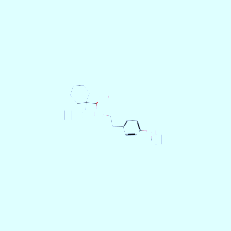 COc1ccc(CCOC(=O)C2(C)CCCCC2)cc1